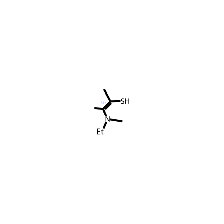 CCN(C)/C(C)=C(/C)S